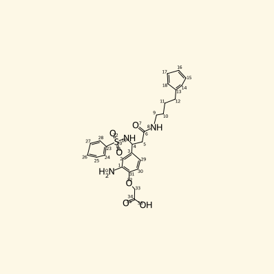 Nc1cc(C(CC(=O)NCCCCc2ccccc2)NS(=O)(=O)c2ccccc2)ccc1OCC(=O)O